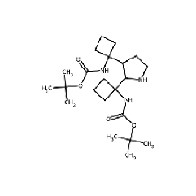 CC(C)(C)OC(=O)NC1(C2CCNC2C2(NC(=O)OC(C)(C)C)CCC2)CCC1